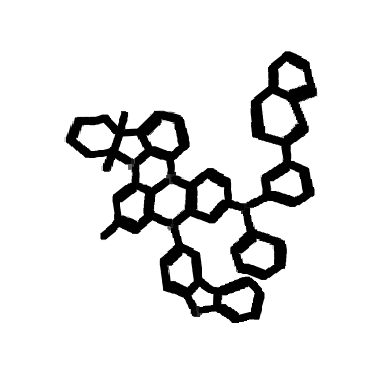 Cc1cc2c3c(c1)N1c4c(cccc4C4(C)CCCCC14C)B3c1ccc(N(c3ccccc3)c3cccc(-c4ccc5ccccc5c4)c3)cc1N2c1ccc2oc3ccccc3c2c1